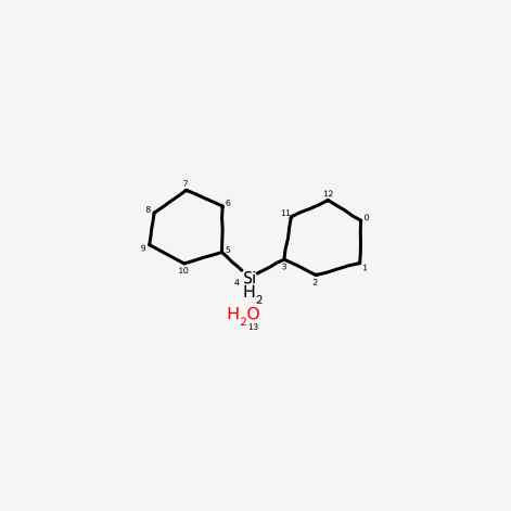 C1CCC([SiH2]C2CCCCC2)CC1.O